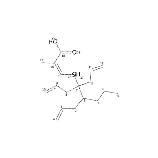 C=CCC(CCC)C(CC=C)(CC=C)[SiH2]C=C(C)C(=O)O